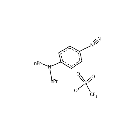 CCCN(CCC)c1ccc([N+]#N)cc1.O=S(=O)([O-])C(F)(F)F